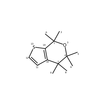 CC1(C)OC(C)(C)C(C)(C)c2[c]csc21